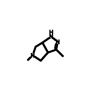 CC1=NNC2CN(C)CC12